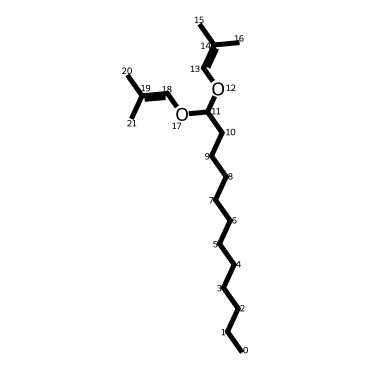 CCCCCCCCCCCC(OC=C(C)C)OC=C(C)C